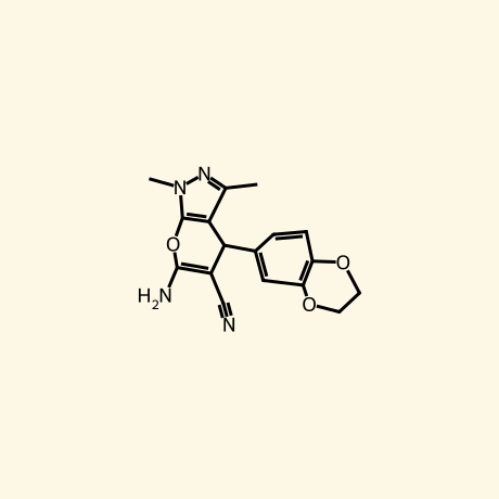 Cc1nn(C)c2c1C(c1ccc3c(c1)OCCO3)C(C#N)=C(N)O2